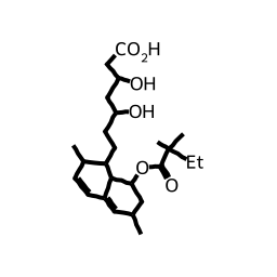 CCC(C)(C)C(=O)OC1CC(C)C=C2C=CC(C)C(CCC(O)CC(O)CC(=O)O)C21